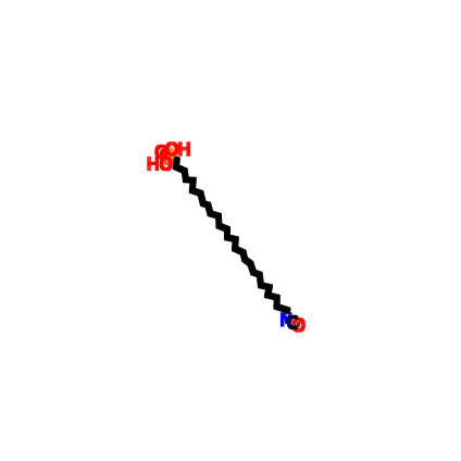 O=C=NCCCCCCCCCCCCCCCCCCCCCCCCCCCP(=O)(O)O